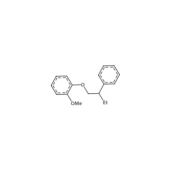 CCC(COc1ccccc1OC)c1ccccc1